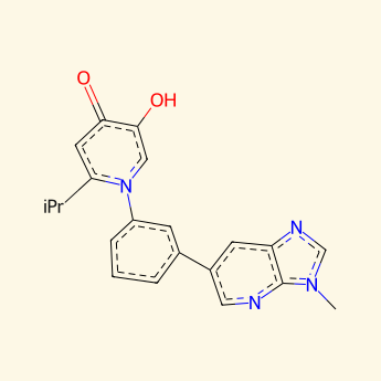 CC(C)c1cc(=O)c(O)cn1-c1cccc(-c2cnc3c(c2)ncn3C)c1